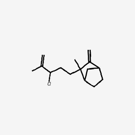 C=C(C)C(Cl)CCC1(C)C(=C)C2CCC1C2